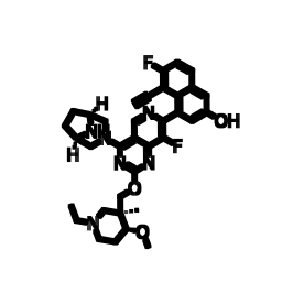 C#Cc1c(F)ccc2cc(O)cc(-c3ncc4c(N5C[C@H]6CC[C@@H](C5)N6)nc(OC[C@]5(C)CN(CC)CC[C@@H]5OC)nc4c3F)c12